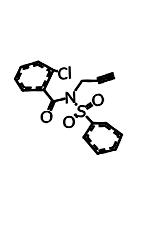 C#CCN(C(=O)c1ccccc1Cl)S(=O)(=O)c1ccccc1